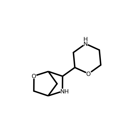 C1COC(C2NC3COC2C3)CN1